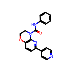 O=C(Nc1ccccc1)N1CCOc2ccc(-c3ccncc3)nc21